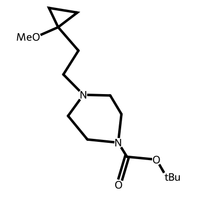 COC1(CCN2CCN(C(=O)OC(C)(C)C)CC2)CC1